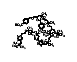 CCOC(C)(C)Cc1cn(CCOC(C)(C)CCOC(C)(C)CCn2cc(CC(C)(C)OCCC(C)(C)OC(COC(C)(C)CC)COC(C)(C)CCOC(C)(C)CC(COCc3ccc(C(=O)O)cc3)OCc3ccc(C(=O)O)cc3)nn2)nn1